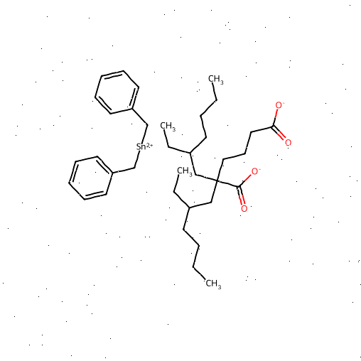 CCCCC(CC)CC(CCCC(=O)[O-])(CC(CC)CCCC)C(=O)[O-].c1ccc([CH2][Sn+2][CH2]c2ccccc2)cc1